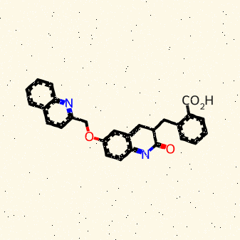 O=C(O)c1ccccc1CC1C=c2cc(OCc3ccc4ccccc4n3)ccc2=NC1=O